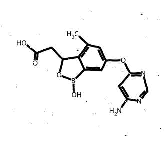 Cc1cc(Oc2cc(N)ncn2)cc2c1C(CC(=O)O)OB2O